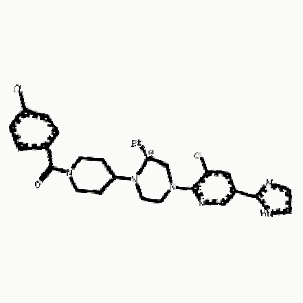 CC[C@H]1CN(c2ncc(-c3ncc[nH]3)cc2Cl)CCN1C1CCN(C(=O)c2ccc(Cl)cc2)CC1